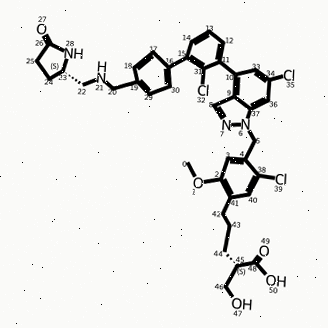 COc1cc(Cn2ncc3c(-c4cccc(-c5ccc(CNC[C@@H]6CCC(=O)N6)cc5)c4Cl)cc(Cl)cc32)c(Cl)cc1CCC[C@@H](CO)C(=O)O